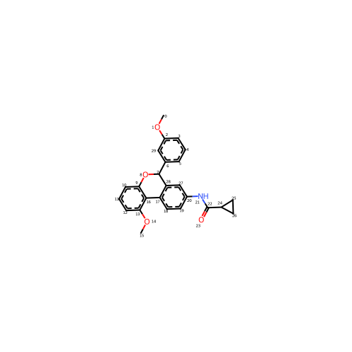 COc1cccc(C2Oc3cccc(OC)c3-c3ccc(NC(=O)C4CC4)cc32)c1